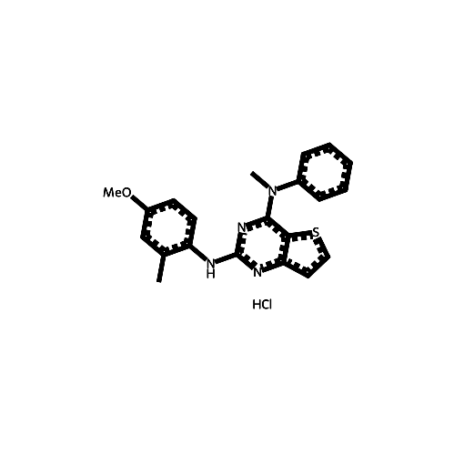 COc1ccc(Nc2nc(N(C)c3ccccc3)c3sccc3n2)c(C)c1.Cl